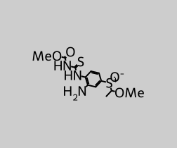 COC(=O)NC(=S)Nc1ccc([S+]([O-])C(C)OC)cc1N